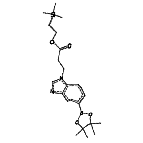 CC1(C)OB(c2ccc3c(c2)ncn3CCC(=O)OCC[Si](C)(C)C)OC1(C)C